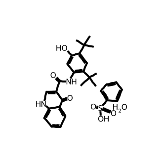 CC(C)(C)c1cc(C(C)(C)C)c(NC(=O)c2c[nH]c3ccccc3c2=O)cc1O.O.O=S(=O)(O)c1ccccc1